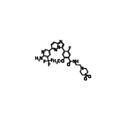 COc1cc(-c2cnc3ccc(-c4cnc(N)c(C(F)(F)F)c4)nn23)c(F)cc1C(=O)NCCN1CCS(=O)(=O)CC1